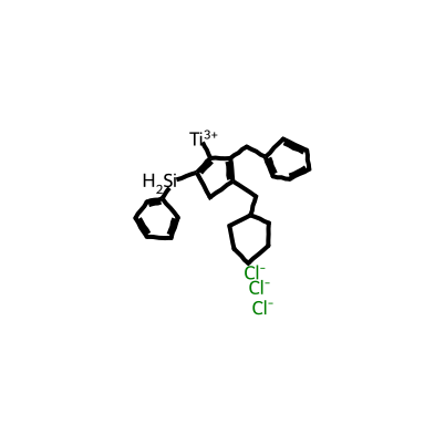 [Cl-].[Cl-].[Cl-].[Ti+3][C]1=C([SiH2]c2ccccc2)CC(CC2CCCCC2)=C1Cc1ccccc1